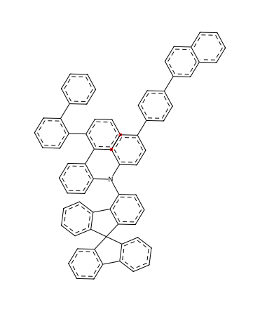 c1ccc(-c2ccccc2-c2ccccc2-c2ccccc2N(c2ccc(-c3ccc(-c4ccc5ccccc5c4)cc3)cc2)c2cccc3c2-c2ccccc2C32c3ccccc3-c3ccccc32)cc1